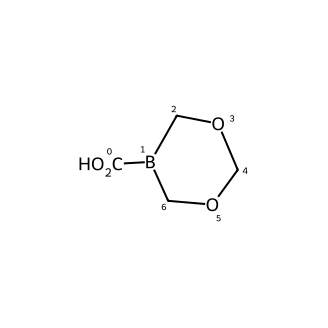 O=C(O)B1COCOC1